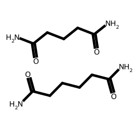 NC(=O)CCCC(N)=O.NC(=O)CCCCC(N)=O